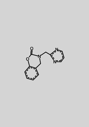 O=C1Oc2ccccc2CN1Cc1ncccn1